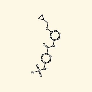 CC(C)S(=O)(=O)Nc1ccc(C(=O)Nc2cccc(OCC3CC3)c2)cc1